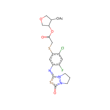 CC(=O)OC1COCC1OC(=O)CSc1cc(/N=c2/sc(=O)n3n2CCC3)c(F)cc1Cl